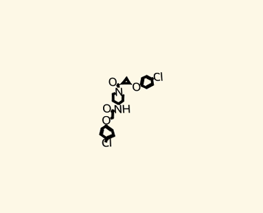 O=C(COc1ccc(Cl)cc1)NC1CCN(C(=O)[C@@H]2C[C@@H]2Oc2ccc(Cl)cc2)CC1